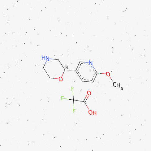 COc1ccc([C@H]2CNCCO2)cn1.O=C(O)C(F)(F)F